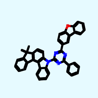 CC1(C)c2ccccc2-c2c1ccc1c2c2ccccc2n1-c1nc(-c2ccccc2)nc(-c2ccc3oc4ccccc4c3c2)n1